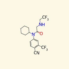 N#Cc1ccc(N(C(=O)CNCC(F)(F)F)C2CCCCC2)cc1C(F)(F)F